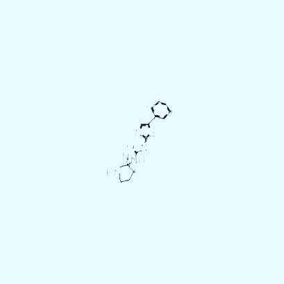 N[C@@]1(NC(=O)Nc2ncc(-c3ccccc3)s2)CCCNC1